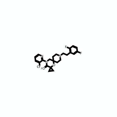 O=C1N(c2ncccc2C(F)(F)F)CC2(CCN(CCc3cc(F)ccc3F)CC2)OC12CC2